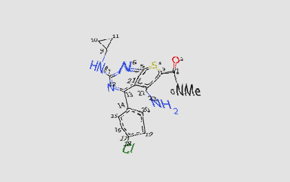 CNC(=O)c1sc2nc(NC3CC3)nc(-c3ccc(Cl)cc3)c2c1N